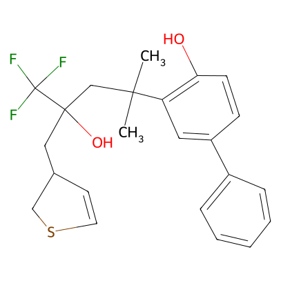 CC(C)(CC(O)(CC1C=CSC1)C(F)(F)F)c1cc(-c2ccccc2)ccc1O